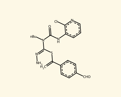 C=C(S/C(=N\N)N(CCCC)C(=O)Nc1cccnc1Cl)c1ccc(C=O)cc1